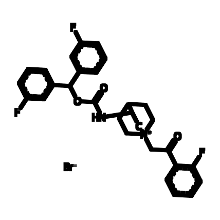 O=C(NC1C[N+]2(CC(=O)c3ccccc3F)CCC1CC2)OC(c1cccc(F)c1)c1cccc(F)c1.[Br-]